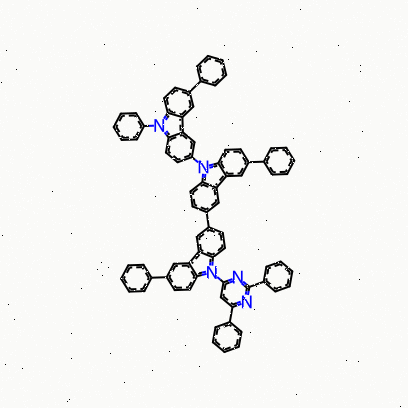 c1ccc(-c2ccc3c(c2)c2cc(-c4ccc5c(c4)c4cc(-c6ccccc6)ccc4n5-c4cc(-c5ccccc5)nc(-c5ccccc5)n4)ccc2n3-c2ccc3c(c2)c2cc(-c4ccccc4)ccc2n3-c2ccccc2)cc1